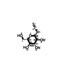 OC[C@@H]1O[C@@H](N=C=S)[C@@H](O)[C@H](O)[C@H]1O